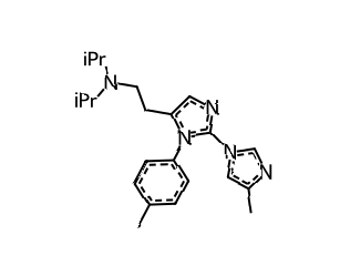 Cc1ccc(-n2c(CCN(C(C)C)C(C)C)cnc2-n2cnc(C)c2)cc1